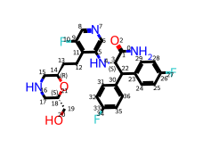 NC(=O)[C@@H](Nc1cncc(F)c1CC[C@@H]1CNC[C@@H](CO)O1)C(c1ccc(F)cc1)c1ccc(F)cc1